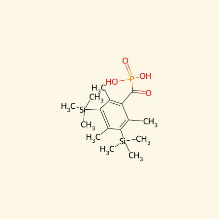 Cc1c(C(=O)P(=O)(O)O)c(C)c([Si](C)(C)C)c(C)c1[Si](C)(C)C